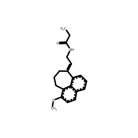 CCC(=O)NCC=C1CCCc2c(OC)ccc3cccc1c23